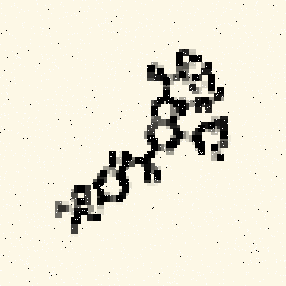 CC(C)N1c2c(cc(C(=O)Nc3ccc(OC(F)(F)Cl)cc3)cc2-c2cncnc2)CC1C(=O)N(C)C